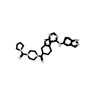 O=C(C1CCc2c(sc3ncnc(Nc4ccc5[nH]ncc5c4)c23)C1)N1CCN(C(=O)N2CCCC2)CC1